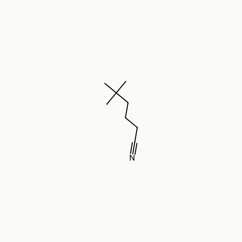 CC(C)(C)CCCC#N